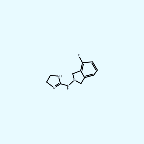 Fc1cccc2c1CN(NC1=NCCN1)C2